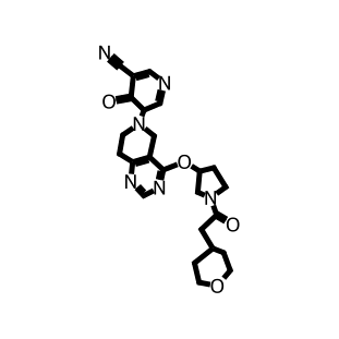 N#CC1=CN=CC(N2CCc3ncnc(OC4CCN(C(=O)CC5CCOCC5)C4)c3C2)C1=O